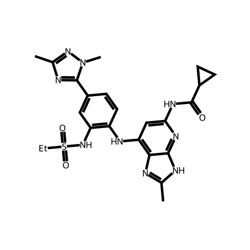 CCS(=O)(=O)Nc1cc(-c2nc(C)nn2C)ccc1Nc1cc(NC(=O)C2CC2)nc2[nH]c(C)nc12